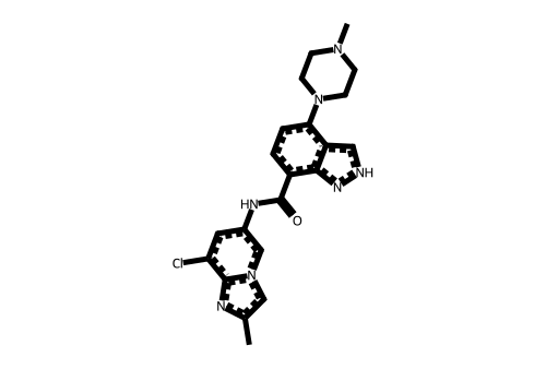 Cc1cn2cc(NC(=O)c3ccc(N4CCN(C)CC4)c4c[nH]nc34)cc(Cl)c2n1